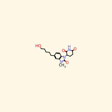 Cn1c(=O)n(C2CCC(=O)NC2=O)c2ccc(CCCCCO)cc21